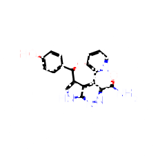 NC(=O)c1nnc2[nH]cc(C(=O)c3ccc(O)cc3)c2c1-c1ccccn1